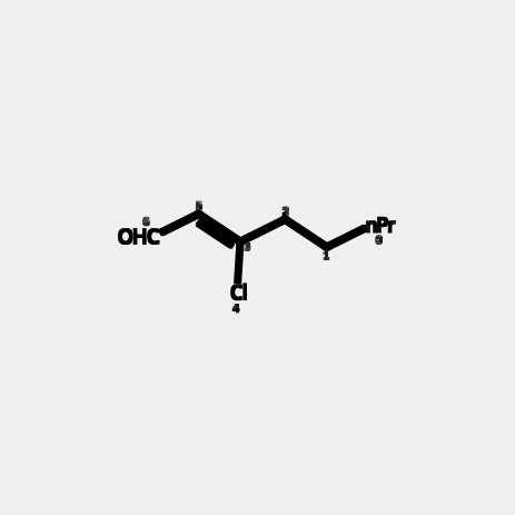 CCCCCC(Cl)=CC=O